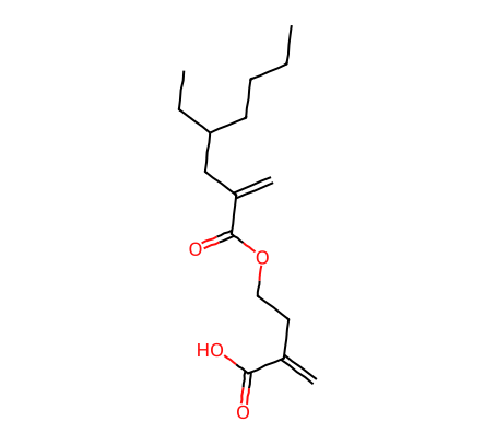 C=C(CCOC(=O)C(=C)CC(CC)CCCC)C(=O)O